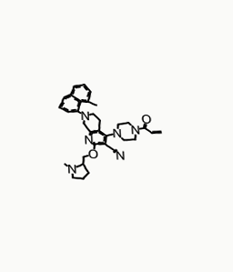 C=CC(=O)N1CCN(c2c(C#N)c(OCC3CCCN3C)nc3c2CCN(c2cccc4cccc(C)c24)C3)CC1